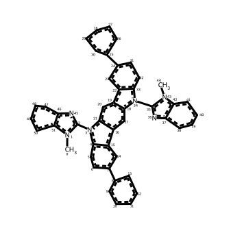 Cn1c(-n2c3ccc(-c4ccccc4)cc3c3cc4c(cc32)c2cc(-c3ccccc3)ccc2n4-c2nc3ccccc3n2C)nc2ccccc21